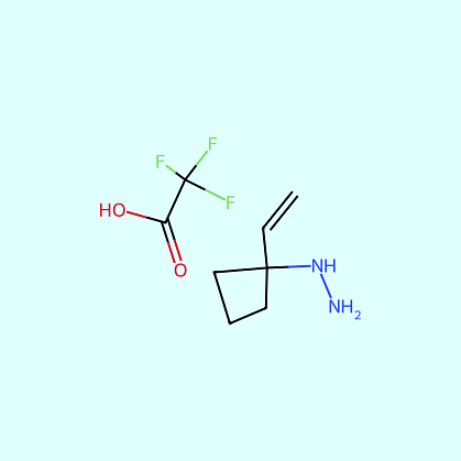 C=CC1(NN)CCC1.O=C(O)C(F)(F)F